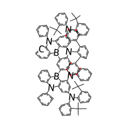 CC(C)(C)c1ccccc1N(c1cc2c3c(c1)N(c1ccccc1)c1cc4c(cc1B3c1ccccc1N2c1ccccc1)B1c2ccccc2N(c2ccccc2)c2cc(N(c3ccccc3C(C)(C)C)c3ccccc3C(C)(C)C)cc(c21)N4c1c(-c2ccccc2)cccc1-c1ccccc1)c1ccccc1C(C)(C)C